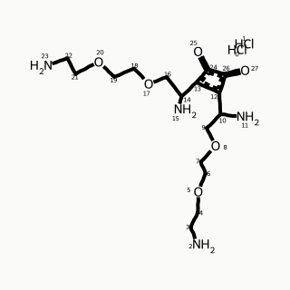 Cl.Cl.NCCOCCOCC(N)c1c(C(N)COCCOCCN)c(=O)c1=O